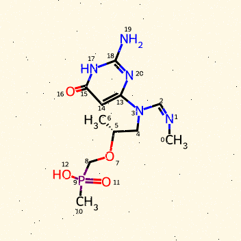 C/N=C\N(C[C@@H](C)OCP(C)(=O)O)c1cc(=O)[nH]c(N)n1